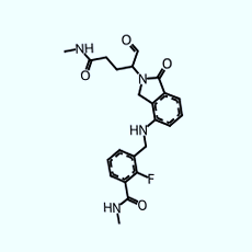 CNC(=O)CCC(C=O)N1Cc2c(NCc3cccc(C(=O)NC)c3F)cccc2C1=O